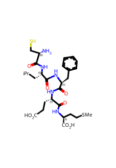 CSCC[C@H](NC(=O)[C@H](CCC(=O)O)NC(=O)[C@H](Cc1ccccc1)NC(=O)[C@H](CC(C)C)NC(=O)[C@@H](N)CS)C(=O)O